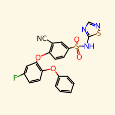 N#Cc1cc(S(=O)(=O)Nc2ncns2)ccc1Oc1cc(F)ccc1Oc1ccccc1